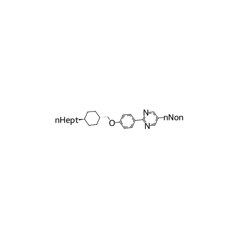 CCCCCCCCCc1cnc(-c2ccc(OC[C@H]3CC[C@H](CCCCCCC)CC3)cc2)nc1